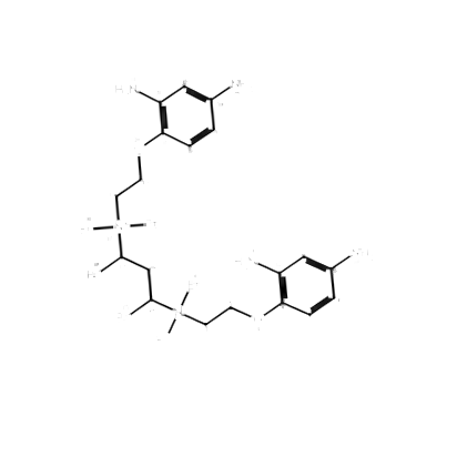 CC[N+](CC)(CCOc1ccc(N)cc1N)C(Br)CC(Br)[N+](CC)(CC)CCOc1ccc(N)cc1N